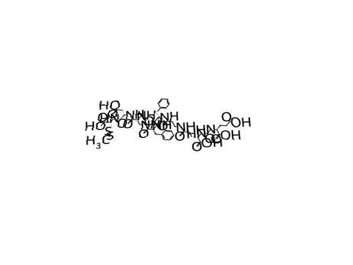 CSSC[C@@H](NC(=O)[C@H](CC(=O)O)NC(=O)[C@@H](N)CNC(=O)[C@H](Cc1ccccc1)NC(=O)[C@H](Cc1ccccc1)NC(=O)CCNC(=O)CC[C@H](NC(=O)N[C@@H](CCC(=O)O)C(=O)O)C(=O)O)C(=O)O